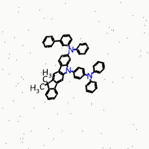 CC1(C)c2ccccc2-c2cc3c(cc21)c1ccc(N(c2ccccc2)c2cccc(-c4ccccc4)c2)cc1n3-c1ccc(N(c2ccccc2)c2ccccc2)cc1